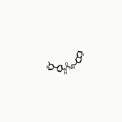 Cc1cc(-c2ccc(NC(=O)NCCc3ccc4ncccc4c3)cc2)ccn1